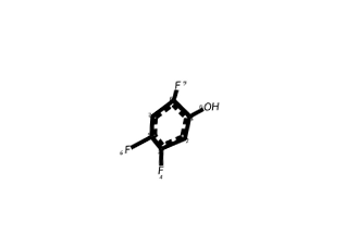 Oc1cc(F)c(F)cc1F